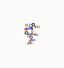 Cc1cccc(CO)c1-c1cc2nc(n1)NS(=O)(=O)c1cccc(c1)C(=O)N([C@H]1CC[C@H](NC(=O)OC(C)C)CC1)[C@H](CC(C)(C)C)CO2